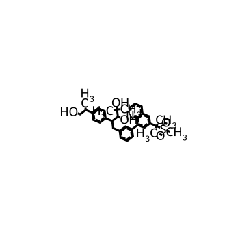 CC(CO)c1ccc(C(Cc2cccc(-c3cc(C(C)(C)S(C)(=O)=O)cc4cccnc34)c2)C(O)C(C)(C)O)cc1